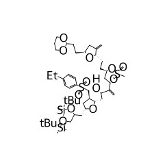 C=C1C[C@H](CCC2OCCCO2)O[C@H]1CC[C@H](CCC(=C)[C@@H](O)C[C@@H]1O[C@H](CC(CO[Si](C)(C)C(C)(C)C)O[Si](C)(C)C(C)(C)C)C[C@H]1CS(=O)(=O)c1ccc(CC)cc1)OS(C)(=O)=O